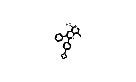 Oc1ncc(I)c2nc(-c3ccc([C]4CCC4)cc3)c(-c3ccccc3)cc12